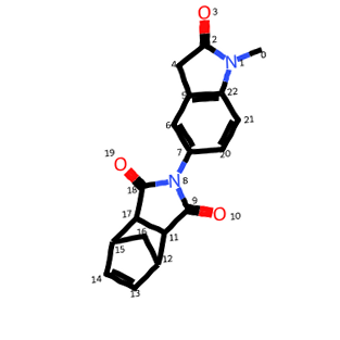 CN1C(=O)Cc2cc(N3C(=O)C4C5C=CC(C5)C4C3=O)ccc21